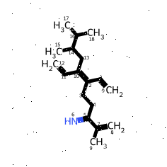 C=C/C(CCC(=N)C(=C)C)=C(/C=C)CC(C)C(C)C